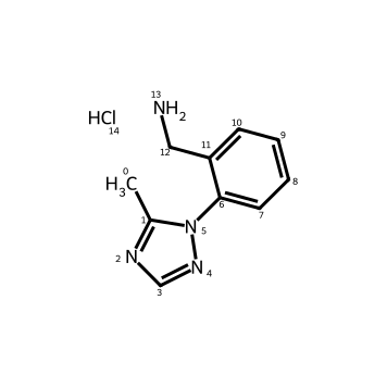 Cc1ncnn1-c1ccccc1CN.Cl